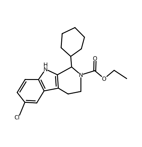 CCOC(=O)N1CCc2c([nH]c3ccc(Cl)cc23)C1C1CCCCC1